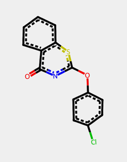 O=c1nc(Oc2ccc(Cl)cc2)sc2ccccc12